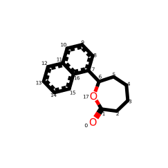 O=C1CCCCC(c2cccc3ccccc23)O1